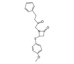 COc1ccc(SC2CC(=O)N2CC(=O)CCc2ccccc2)cc1